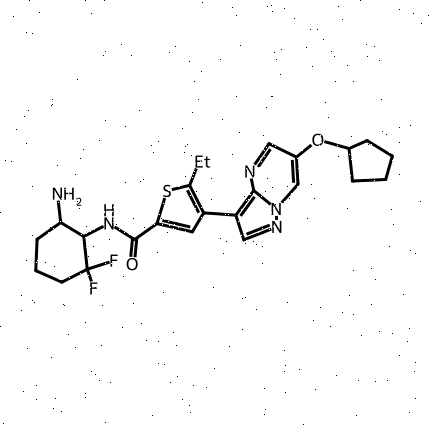 CCc1sc(C(=O)NC2C(N)CCCC2(F)F)cc1-c1cnn2cc(OC3CCCC3)cnc12